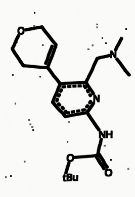 CN(C)Cc1nc(NC(=O)OC(C)(C)C)ccc1C1=CCOCC1